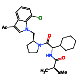 CN[C@@H](C)C(=O)N[C@H](C(=O)N1CCC[C@H]1Cn1cc(C(C)=O)c2cccc(Cl)c21)C1CCCCC1